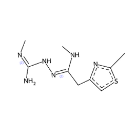 C/N=C(/N)N/N=C(/Cc1csc(C)n1)NC